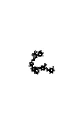 O=S(=O)=C(COCCc1nc(-c2ccc3ncnc(Nc4ccc(OCc5cccc(F)c5)c(Br)c4)c3c2)cs1)c1ccccn1